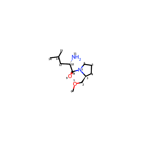 COC[C@@H]1CCCN1C(=O)[C@@H](N)CC(C)C